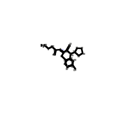 CCOC(=O)/C=C1\Cc2cnc(I)nc2N(C2CCCC2)C1=O